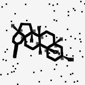 C[C@]12CC[C@@H](O)C[C@@H]1CC[C@@H]1[C@@H]2CC[C@@]23CC(=O)CC[C@H]2CC[C@@H]13